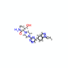 CC(C)C(CO)C(C(N)=O)N1CCN(c2nncc(-c3ccc4c(cnn4C)c3)n2)CC1